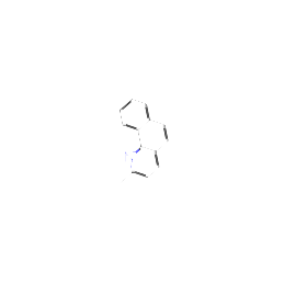 [CH2]c1ccc2ccc3ccccc3c2n1